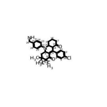 CC1(C)CC2C(=C(c3ccc(Cl)cc3)C3C(=O)CCCC3N2c2ccc(CN)cc2)C(=O)C1(C)C